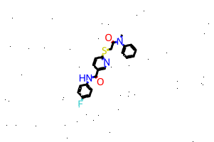 CN(C(=O)CSc1ccc(C(=O)Nc2ccc(F)cc2)cn1)c1ccccc1